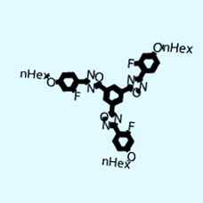 CCCCCCOc1ccc(-c2noc(-c3cc(-c4nc(-c5ccc(OCCCCCC)cc5F)no4)cc(-c4nc(-c5ccc(OCCCCCC)cc5F)no4)c3)n2)c(F)c1